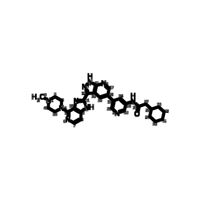 CN1CCN(c2nccc3[nH]c(-c4n[nH]c5ncc(-c6cncc(NC(=O)CC7CCCCC7)c6)cc45)nc23)CC1